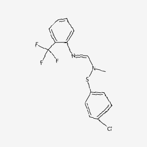 CN(C=Nc1ccccc1C(F)(F)F)Sc1ccc(Cl)cc1